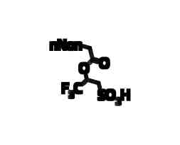 CCCCCCCCCCC(=O)OC(CS(=O)(=O)O)C(F)(F)F